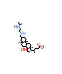 COC(=O)CC[C@@H](C)[C@H]1CCC2C3C(CC[C@@]21C)[C@@]1(C)CCC(CNCCNC(C)C)C[C@H]1C[C@H]3O